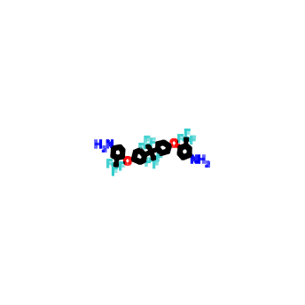 Nc1ccc(Oc2ccc(C(c3ccc(Oc4ccc(N)cc4C(F)(F)F)cc3)(C(F)(F)F)C(F)(F)F)cc2)c(C(F)(F)F)c1